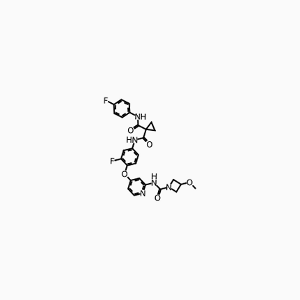 COC1CN(C(=O)Nc2cc(Oc3ccc(NC(=O)C4(C(=O)Nc5ccc(F)cc5)CC4)cc3F)ccn2)C1